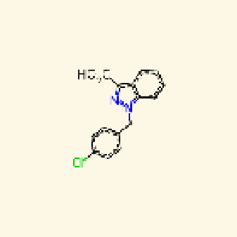 O=C(O)c1nn(Cc2ccc(Cl)cc2)c2ccccc12